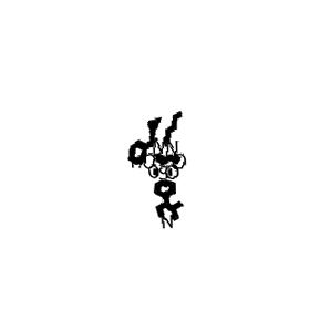 CCCCc1nc(=O)c(S(=O)(=O)c2ccc(-c3ccncc3C)cc2)c(O)n1C(c1ccccc1)C1CC1